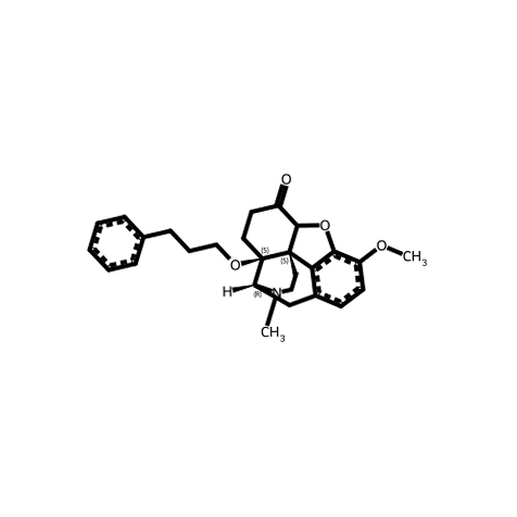 COc1ccc2c3c1OC1C(=O)CC[C@@]4(OCCCc5ccccc5)[C@@H](C2)N(C)CC[C@]314